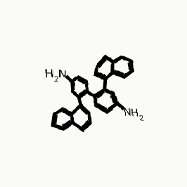 Nc1ccc(-c2ccc(N)cc2-c2cccc3ccccc23)c(-c2cccc3ccccc23)c1